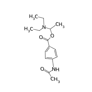 CCN(CC)C(C)OC(=O)c1ccc(NC(C)=O)cc1